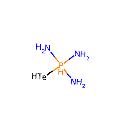 N[PH](N)(N)[TeH]